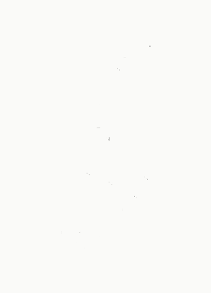 CC(NC(=O)OC(C)(C)C)C1CCC(C(=O)Nc2ccnc3c2cc(-c2nccn2C)n3COCC[Si](C)(C)C)CC1